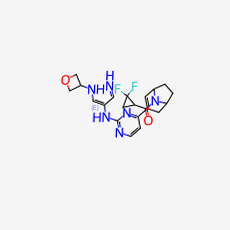 N=C/C(=C\NC1COC1)Nc1nccc(C2=CC3CCC(C2)N3C(=O)C2CC2(F)F)n1